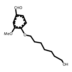 COc1cc(C=O)ccc1OCCCCCCCO